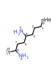 CCCCCCCCCC(N)CCC(N)CC